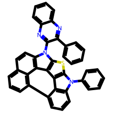 c1ccc(-c2nc3ccccc3nc2-n2c3ccc4cccc5c4c3c3c4c6c-5cccc6n(-c5ccccc5)c4sc32)cc1